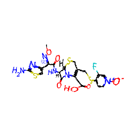 CO/N=C(\C(=O)N[C@@H]1C(=O)N2C(C(=O)O)=C(CSc3cc[n+]([O-])cc3F)CS[C@H]12)c1csc(N)n1